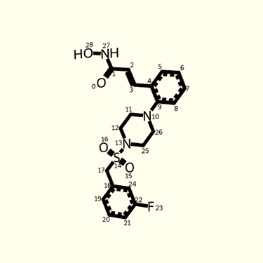 O=C(C=Cc1ccccc1N1CCN(S(=O)(=O)Cc2cccc(F)c2)CC1)NO